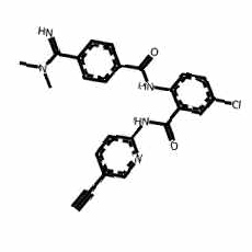 C#Cc1ccc(NC(=O)c2cc(Cl)ccc2NC(=O)c2ccc(C(=N)N(C)C)cc2)nc1